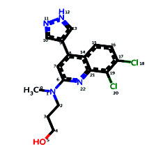 CN(CCCO)c1cc(-c2cn[nH]c2)c2ccc(Cl)c(Cl)c2n1